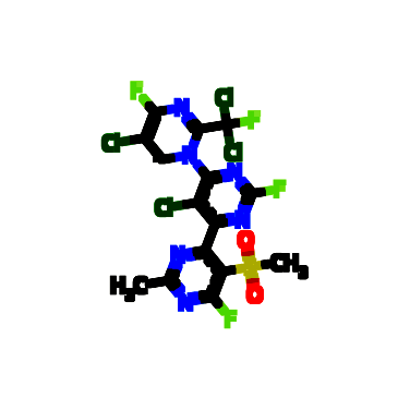 Cc1nc(F)c(S(C)(=O)=O)c(-c2nc(F)nc(N3[CH]C(Cl)=C(F)N=C3C(F)(Cl)Cl)c2Cl)n1